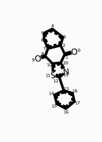 O=C1c2ccccc2C(=O)c2sc(-c3ccccc3)nc21